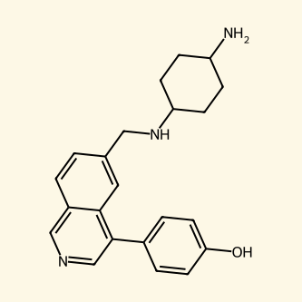 NC1CCC(NCc2ccc3cncc(-c4ccc(O)cc4)c3c2)CC1